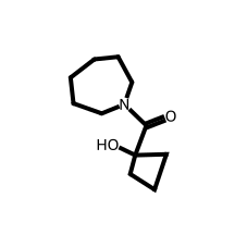 O=C(N1CCCCCC1)C1(O)CCC1